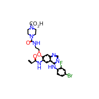 C=CC(=O)Nc1cc2c(Nc3ccc(Br)cc3F)ncnc2cc1OCCNC(=O)N1CCN(C(=O)O)CC1